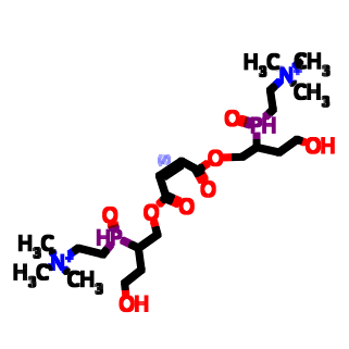 C[N+](C)(C)CC[PH](=O)C(CCO)COC(=O)/C=C\C(=O)OCC(CCO)[PH](=O)CC[N+](C)(C)C